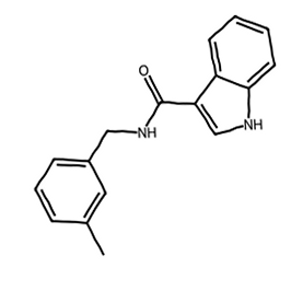 Cc1cccc(CNC(=O)c2c[nH]c3ccccc23)c1